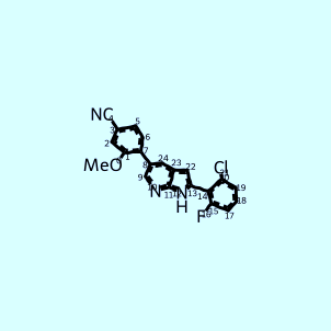 COc1cc(C#N)ccc1-c1cnc2[nH]c(-c3c(F)cccc3Cl)cc2c1